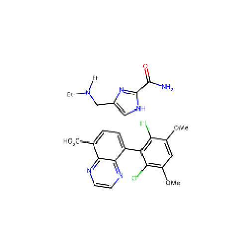 CCN(CC)Cc1c[nH]c(C(N)=O)n1.COc1cc(OC)c(Cl)c(-c2ccc(C(=O)O)c3nccnc23)c1Cl